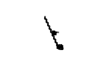 CCCCCCCCCCCCCCCCCC[n+]1ccsc1.[Br-]